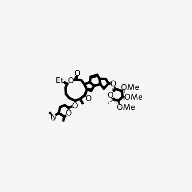 CCC1CCCC(OC2CCC(N(C)C)C(C)O2)C(C)C(=O)C2=CC3C(C=CC4CC(O[C@@H]5O[C@@H](C)[C@H](OC)[C@@H](OC)[C@H]5OC)CC43)C2CC(=O)O1